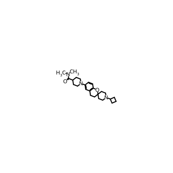 CN(C)C(=O)C1CCN(c2ccc3c(c2)CCC2(CCN(C4CCC4)CC2)O3)CC1